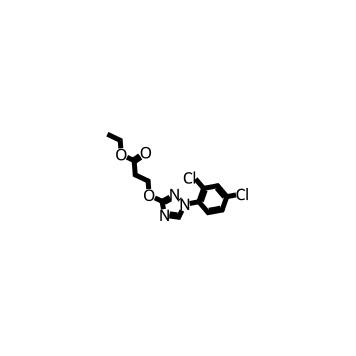 CCOC(=O)CCOc1ncn(-c2ccc(Cl)cc2Cl)n1